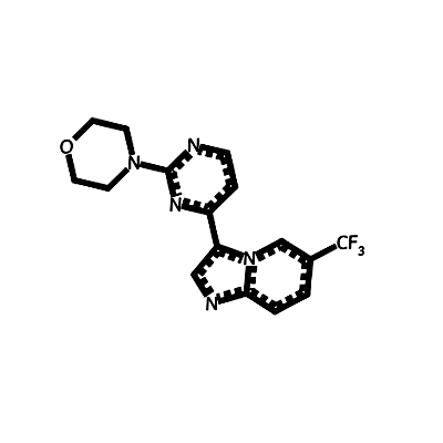 FC(F)(F)c1ccc2ncc(-c3ccnc(N4CCOCC4)n3)n2c1